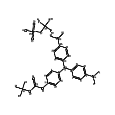 CN(C)c1ccc([S+](c2ccc(OC(=O)OC(C)(C)C)cc2)c2ccc(N(C)C)cc2)cc1.O=S(=O)([O-])CC(F)(F)F